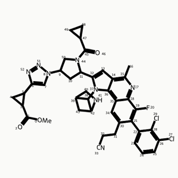 COC(=O)C1CC1c1cn(C2CC(c3cc4c(C)nc5c(F)c(-c6cccc(Cl)c6Cl)c(CCC#N)cc5c4n3C3C4CNC3C4)N(C(=O)C3CC3)C2)nn1